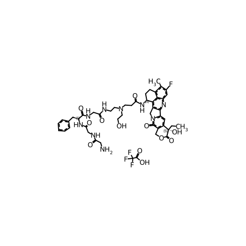 CC[C@@]1(O)C(=O)OCc2c1cc1n(c2=O)Cc2c-1nc1cc(F)c(C)c3c1c2[C@@H](NC(=O)CCN(CCO)CCNC(=O)CNC(=O)[C@H](Cc1ccccc1)NC(=O)CNC(=O)CN)CC3.O=C(O)C(F)(F)F